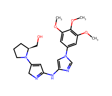 COc1cc(-n2cnc(NC3=NCC(N4CCC[C@H]4CO)=C3)c2)cc(OC)c1OC